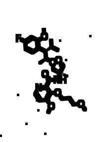 COCCCOc1c(OC)ccnc1C(=O)N[C@](C)(C=O)CO[C@@H](C)[C@H](c1ccc(F)cc1OC)C(C)C